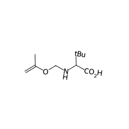 C=C(C)OCNC(C(=O)O)C(C)(C)C